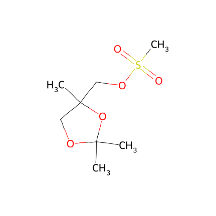 CC1(COS(C)(=O)=O)COC(C)(C)O1